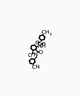 Cc1ccc(S(=O)(=O)Nc2cccc3c2C(=O)N(Cc2cccc(C#N)c2)C3=O)cc1